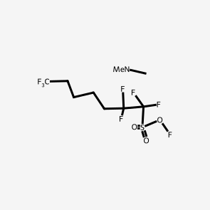 CNC.O=S(=O)(OF)C(F)(F)C(F)(F)CCCCC(F)(F)F